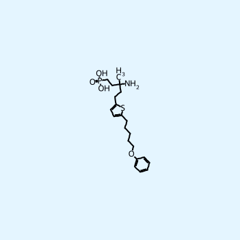 CC(N)(CCc1ccc(CCCCCOc2ccccc2)s1)CCP(=O)(O)O